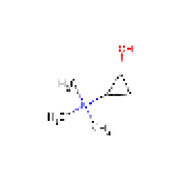 C[N+](C)(C)C1CC1O